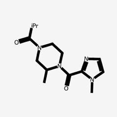 CC(C)C(=O)N1CCN(C(=O)c2nccn2C)C(C)C1